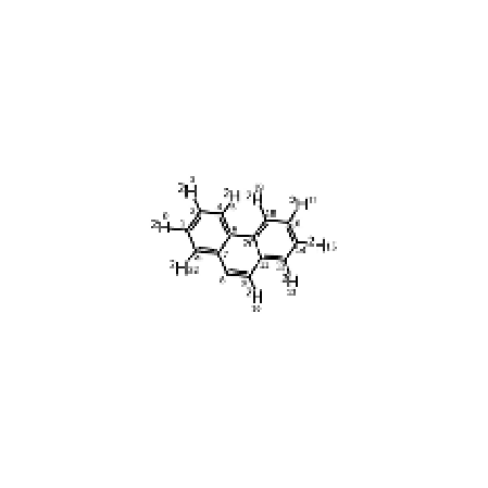 [2H]c1c([2H])c([2H])c2c(cc([2H])c3c([2H])c([2H])c([2H])c([2H])c32)c1[2H]